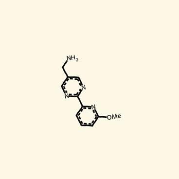 COc1cccc(-c2ncc(CN)cn2)n1